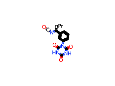 CCCC(N=C=O)c1cccc(-n2c(=O)[nH]c(=O)[nH]c2=O)c1